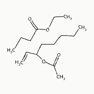 C=CC(CCCCC)OC(C)=O.CCCC(=O)OCC